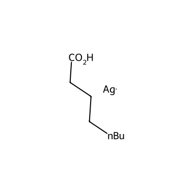 CCCCCCCC(=O)O.[Ag]